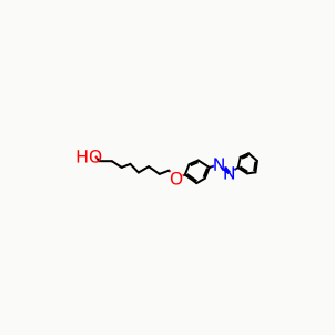 OCCCCCCCCOc1ccc(N=Nc2ccccc2)cc1